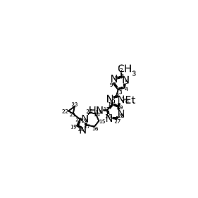 CCn1c(-c2cnc(C)nc2)nc2c(N[C@H]3CCc4ncc(C5CC5)n4C3)ncnc21